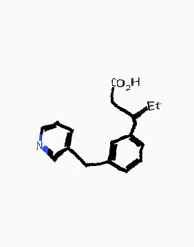 CCC(CC(=O)O)c1cccc(Cc2cccnc2)c1